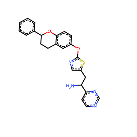 NC(Cc1cnc(Oc2ccc3c(c2)CCC(c2ccccc2)O3)s1)c1ccncn1